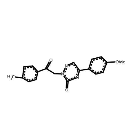 COc1ccc(-c2cnn(CC(=O)c3ccc(C)cc3)c(=O)n2)cc1